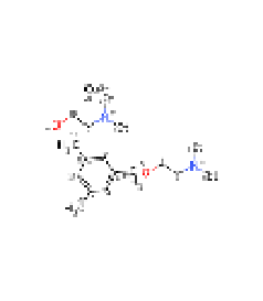 CCN(CC)CC[O-].CCN(CC)CC[O-].Cc1cc(C)cc(C)c1.[Cu+2]